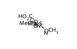 COc1cc(C(=O)O)ccc1NS(=O)(=O)c1csc(C#Cc2cncc(C)c2)n1